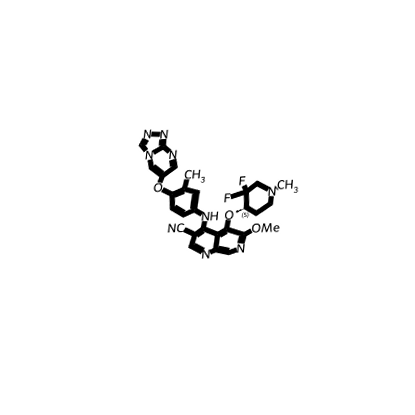 COc1ncc2ncc(C#N)c(Nc3ccc(Oc4cnc5nncn5c4)c(C)c3)c2c1O[C@H]1CCN(C)CC1(F)F